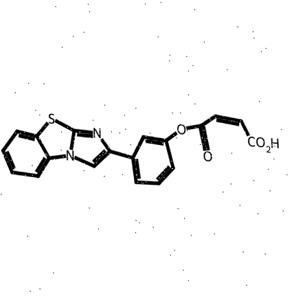 O=C(O)/C=C\C(=O)Oc1cccc(-c2cn3c(n2)sc2ccccc23)c1